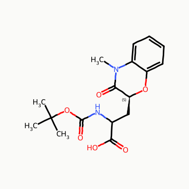 CN1C(=O)[C@H](CC(NC(=O)OC(C)(C)C)C(=O)O)Oc2ccccc21